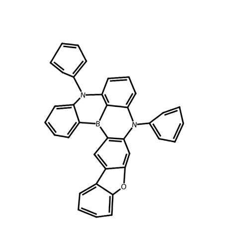 c1ccc(N2c3ccccc3B3c4cc5c(cc4N(c4ccccc4)c4cccc2c43)oc2ccccc25)cc1